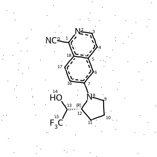 N#Cc1nccc2cc(N3CCC[C@@H]3C(O)C(F)(F)F)ccc12